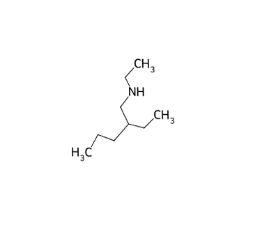 CCCC(CC)CNCC